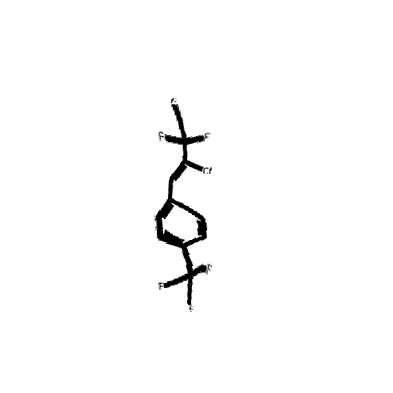 FC(F)(F)C(Cl)=Cc1ccc(C(F)(F)F)cc1